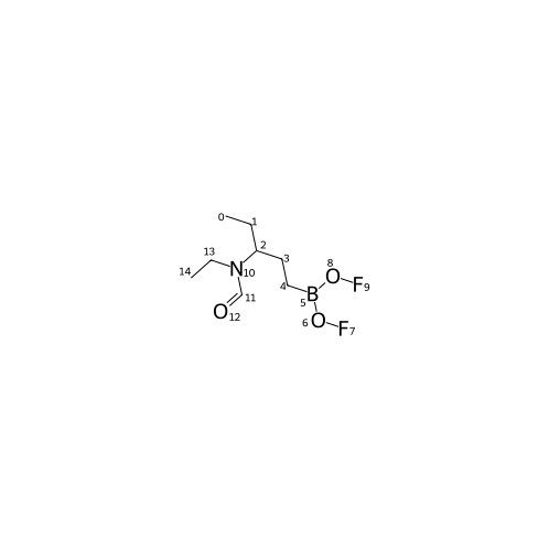 CCC(CCB(OF)OF)N(C=O)CC